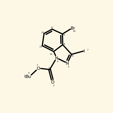 CC(C)(C)OC(=O)n1nc(I)c2c(Br)cccc21